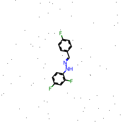 Fc1ccc(C=NNc2ccc(F)cc2F)cc1